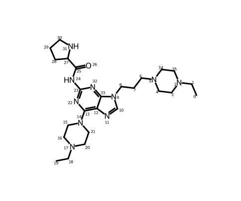 CCN1CCN(CCCn2cnc3c(N4CCN(CC)CC4)nc(NC(=O)C4CCCN4)nc32)CC1